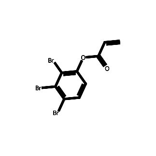 C=CC(=O)Oc1ccc(Br)c(Br)c1Br